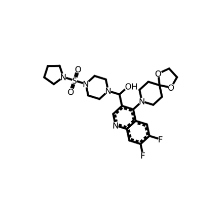 O=S(=O)(N1CCCC1)N1CCN(C(O)c2cnc3cc(F)c(F)cc3c2N2CCC3(CC2)OCCO3)CC1